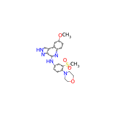 COc1ccc2nc(Nc3ccc(N4CCOCC4)c(S(C)(=O)=O)c3)c3n[nH]cc3c2c1